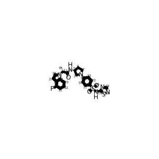 C[C@H](C(=O)N[C@@H]1CCN(c2ccc(S(=O)(=O)Nc3ncns3)cc2)C1)n1ccc2c(F)cccc21